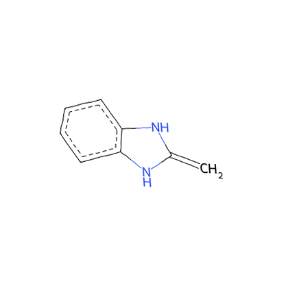 C=C1Nc2ccccc2N1